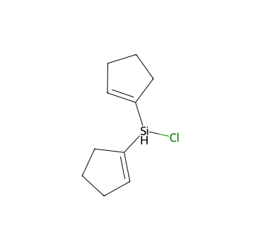 Cl[SiH](C1=CCCC1)C1=CCCC1